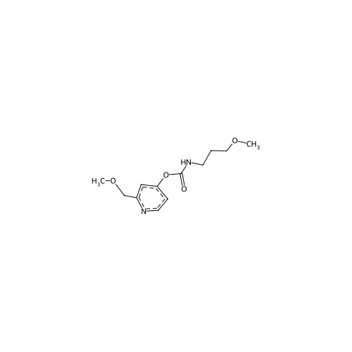 COCCCNC(=O)Oc1ccnc(COC)c1